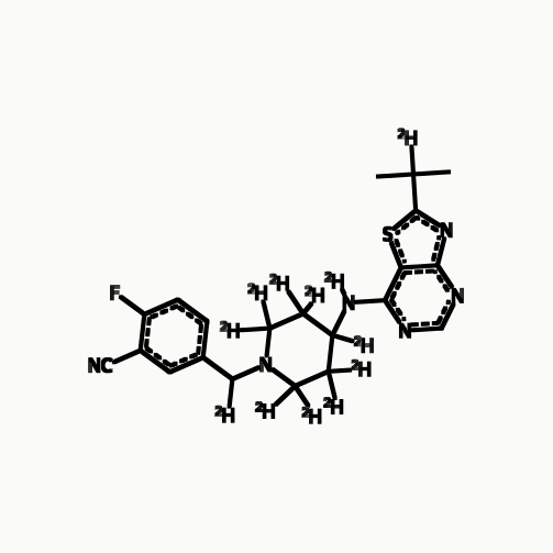 [2H]C(c1ccc(F)c(C#N)c1)N1C([2H])([2H])C([2H])([2H])C([2H])(N([2H])c2ncnc3nc(C([2H])(C)C)sc23)C([2H])([2H])C1([2H])[2H]